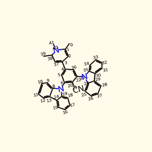 CC1=CC(c2cc(-n3c4ccccc4c4ccccc43)c(C#N)c(-n3c4ccccc4c4ccccc43)c2)=CC(C)N1C